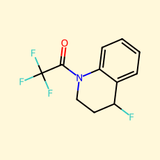 O=C(N1CCC(F)c2ccccc21)C(F)(F)F